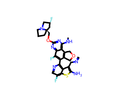 C=NCc1c(N)sc2c(F)cnc(-c3c4c(c5c(NC)nc(OC[C@@]67CCCN6C[C@H](F)C7)nc5c3F)COC4)c12